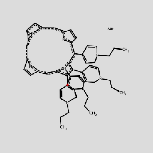 CCCN1C=CC(c2c(C3=CCN(CCC)C=C3)c3c(C4=CCN(CCC)C=C4)c4nc(cc5ccc(cc6nc(cc2n3C2=CCN(CCC)C=C2)C=C6)[nH]5)C=C4)=CC1.[Mn]